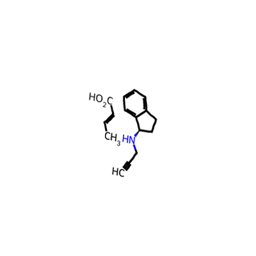 C#CCN[C@@H]1CCc2ccccc21.C/C=C/C(=O)O